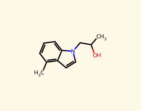 Cc1cccc2c1ccn2CC(C)O